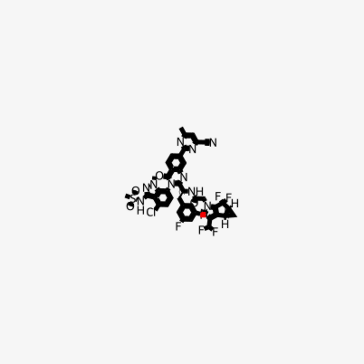 Cc1cc(C#N)nc(-c2ccc3c(=O)n(-c4ccc(Cl)c5c(NS(C)(=O)=O)nn(C)c45)c([C@H](Cc4cc(F)cc(F)c4)NC(=O)Cn4nc(C(F)F)c5c4C(F)(F)[C@@H]4C[C@H]54)nc3c2)n1